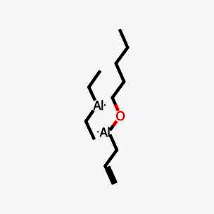 C=C[CH2][Al][O]CCCCC.C[CH2][Al][CH2]C